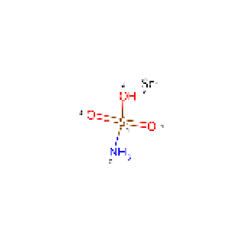 NS(=O)(=O)O.[Sc]